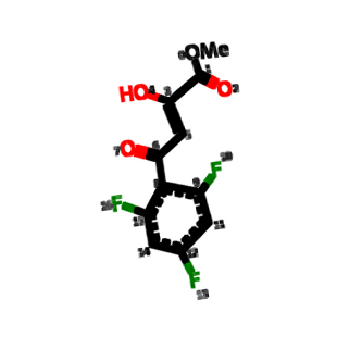 COC(=O)C(O)=CC(=O)c1c(F)cc(F)cc1F